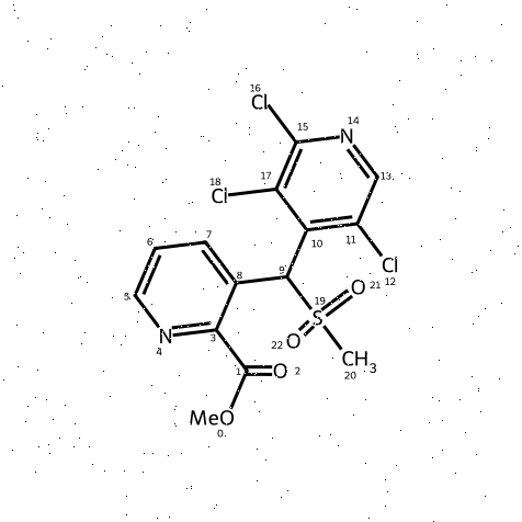 COC(=O)c1ncccc1C(c1c(Cl)cnc(Cl)c1Cl)S(C)(=O)=O